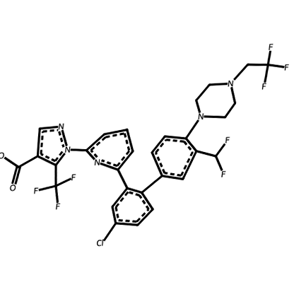 O=C(O)c1cnn(-c2cccc(-c3cc(Cl)ccc3-c3ccc(N4CCN(CC(F)(F)F)CC4)c(C(F)F)c3)n2)c1C(F)(F)F